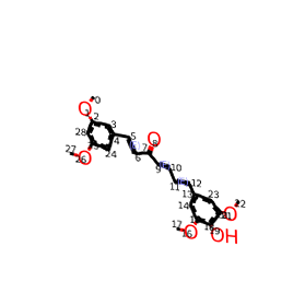 COc1cc(/C=C/C(=O)/C=C/C=C/c2cc(OC)c(O)c(OC)c2)cc(OC)c1